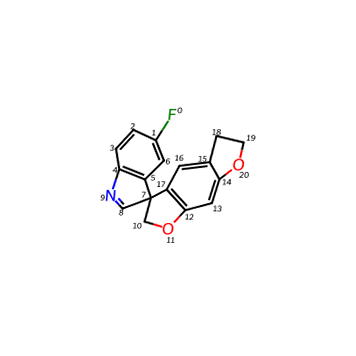 Fc1ccc2c(c1)C1(C=N2)COc2cc3c(cc21)CCO3